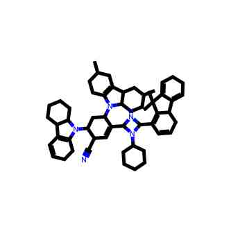 CC1CCC2=C(C1)C1CC(C)CCC1N2C1CC(N2C3=C(C=CCC3)C3CCCCC32)C(C#N)C=C1C1NC(C2=C3C(CC=C2)C2=CCCC=C2C3(C)C)N1C1CCCCC1